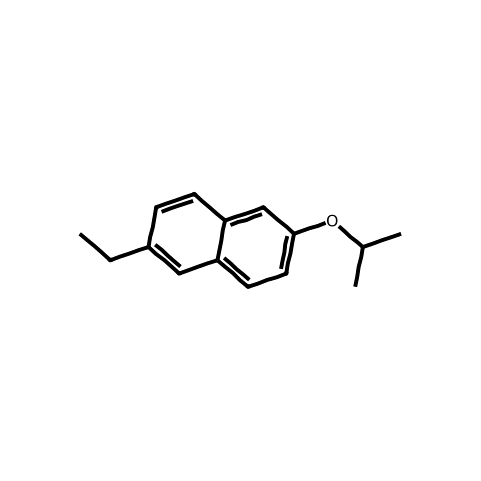 CCc1ccc2cc(OC(C)C)ccc2c1